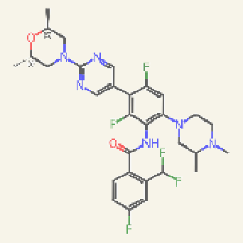 CC1CN(c2cc(F)c(-c3cnc(N4C[C@H](C)O[C@@H](C)C4)nc3)c(F)c2NC(=O)c2ccc(F)cc2C(F)F)CCN1C